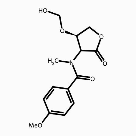 COc1ccc(C(=O)N(C)C2C(=O)OC[C@@H]2OCO)cc1